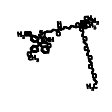 CCCOCCOCCOCCOCCOCCOP(=O)(OCCCCCNC(=O)CCCC1SCC2C1NC(=O)N2C(c1ccccc1)(c1ccc(OC)cc1)c1ccc(OC)cc1)OC(C)(C)C